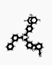 C[C@@H]1C[C@@H]2C[C@H](C)CC(c3ccc(-c4nc(-c5cccc(-c6ccccc6)c5)nc(-c5ccc6oc7c(C#N)cccc7c6c5)n4)cc3)(C1)C2